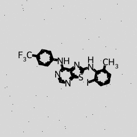 Cc1cccc(I)c1Nc1nc2c(Nc3ccc(C(F)(F)F)cc3)ncnc2s1